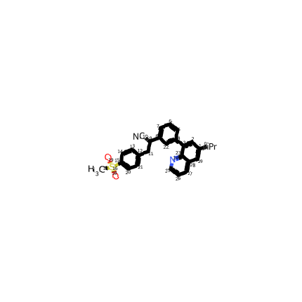 CC(C)c1cc(-c2cccc(C(C#N)Cc3ccc(S(C)(=O)=O)cc3)c2)c2ncccc2c1